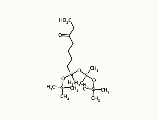 C[Si](C)(C)O[Si](C)(C)O[Si](C)(CCCCC(=O)CC(=O)O)O[Si](C)(C)C